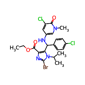 CCOC(=O)c1nc(Br)n(C(C)C)c1C(Nc1cc(Cl)c(=O)n(C)c1)c1ccc(Cl)cc1